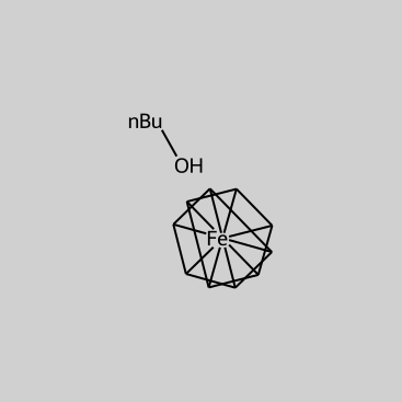 CCCCO.[CH]12[CH]3[CH]4[CH]5[CH]1[Fe]23451678[CH]2[CH]1[CH]6[CH]7[CH]28